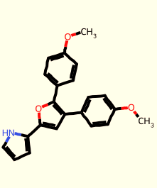 COc1ccc(-c2cc(-c3ccc[nH]3)oc2-c2ccc(OC)cc2)cc1